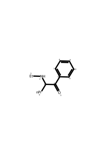 CCCC(NCC)C(=O)c1ccccc1